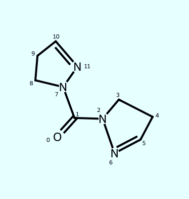 O=C(N1CCC=N1)N1CCC=N1